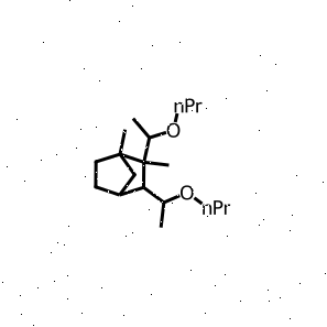 CCCOC(C)C1C2CCC(C)(C2)C1(C)C(C)OCCC